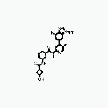 Cc1cnc(NC(=O)C2CCCC(NC(=O)C3CC(O)C3)C2)cc1-c1cc(F)c2ncn(C(C)C)c2c1